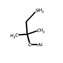 CC(=O)OC(C)(C)C[SiH3]